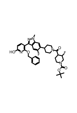 Cn1nc(-c2ccc(O)nc2OCc2ccccc2)c2cc(F)c(C3CCN(C(=O)C4CCN(C(=O)OC(C)(C)C)CC4F)CC3)cc21